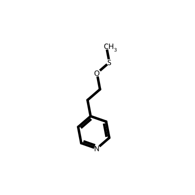 CSOCCc1ccncc1